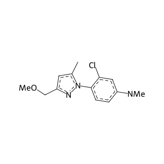 CNc1ccc(-n2nc(COC)cc2C)c(Cl)c1